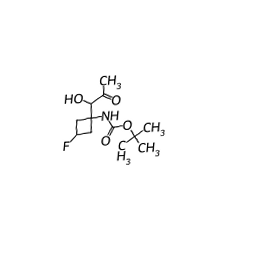 CC(=O)C(O)C1(NC(=O)OC(C)(C)C)CC(F)C1